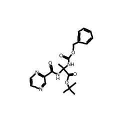 CC(C)(C)OC(=O)C(C)(NC(=O)OCc1ccccc1)NC(=O)c1cnccn1